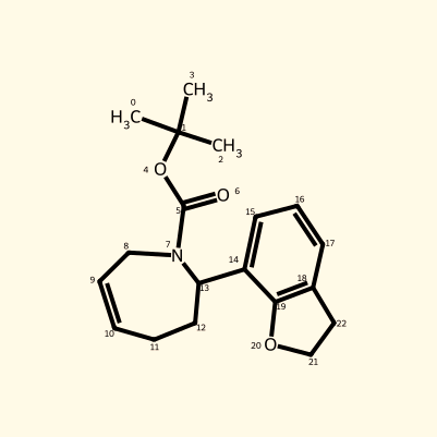 CC(C)(C)OC(=O)N1CC=CCCC1c1cccc2c1OCC2